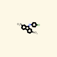 O=[N+]([O-])c1ccc2c(c1)C(=Nc1ccc(Cl)cc1)c1cc([N+](=O)[O-])ccc1-2